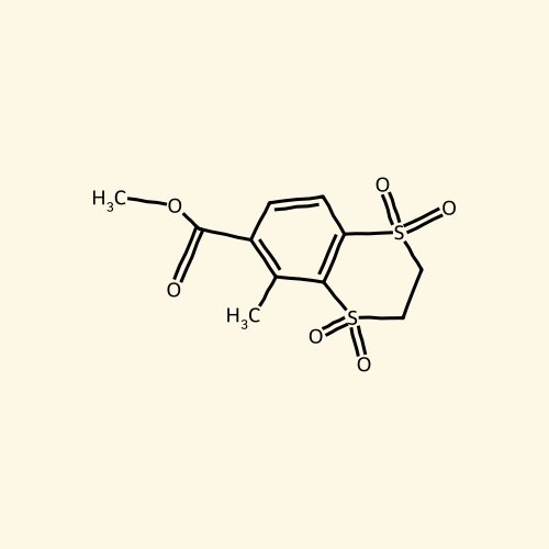 COC(=O)c1ccc2c(c1C)S(=O)(=O)CCS2(=O)=O